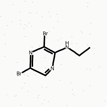 CCNc1ncc(Br)nc1Br